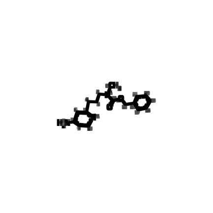 CN(CCCc1cc(N)ccn1)C(=O)OCc1ccccc1